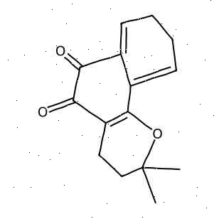 CC1(C)CCC2=C(O1)C1=CCCC=C1C(=O)C2=O